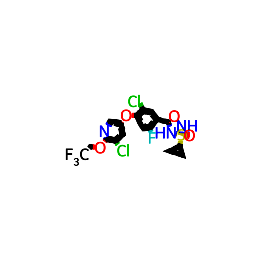 N=S(=O)(NC(=O)c1cc(Cl)c(Oc2cnc(OCC(F)(F)F)c(Cl)c2)cc1F)C1CC1